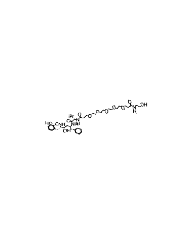 CC(C)[C@H](NC(=O)CCOCCOCCOCCOCCOCCC(=O)NCCO)C(=O)N[C@@H](Cc1ccccc1)C[C@H](O)[C@H](Cc1ccccc1)NC(=O)O